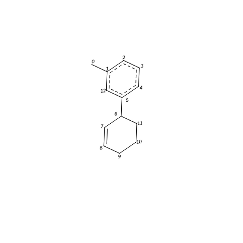 Cc1cccc(C2C=CCCC2)c1